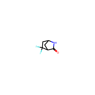 O=C1NC2CC1C(F)(F)C2